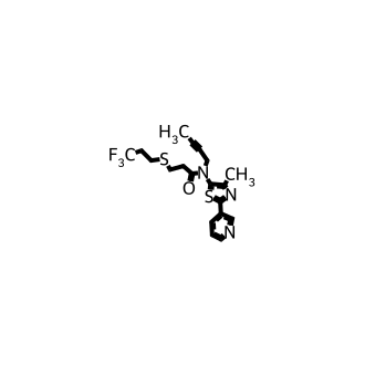 CC#CCN(C(=O)CCSCCC(F)(F)F)c1sc(-c2cccnc2)nc1C